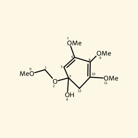 COCOC1(O)C=C(OC)C(OC)=C(OC)C1